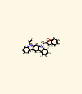 C=Cn1c2ccccc2c2cc3c4ccccc4n(Cc4cc5ccccc5o4)c3cc21